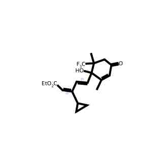 CCOC(=O)/C=C(\C=C\C1(O)C(C)=CC(=O)CC1(C)C(F)(F)F)C1CC1